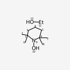 CC1(C)CCCC(C)(C)N1O.CCO